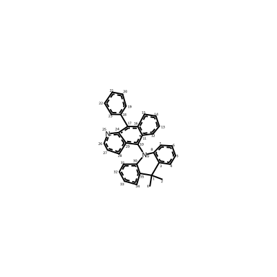 CC1(C)c2ccccc2N(c2c3ccccc3c(-c3ccccc3)c3ncccc23)c2ccccc21